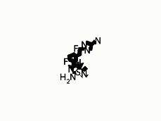 C=C(N(C)C)[C@]12C[C@H]1[C@@](C)(c1cc(/C=C(\F)c3ncc(C#N)cn3)ccc1F)N=C(N)S2